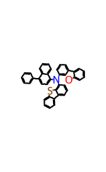 c1ccc(-c2ccc(N(c3cccc4c3oc3ccccc34)c3cccc4c3sc3ccccc34)c3ccccc23)cc1